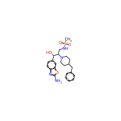 CS(=O)(=O)NCC(C(O)c1ccc2nc(N)sc2c1)N1CCC(Cc2ccccc2)CC1